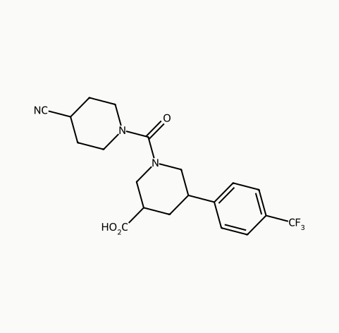 N#CC1CCN(C(=O)N2CC(C(=O)O)CC(c3ccc(C(F)(F)F)cc3)C2)CC1